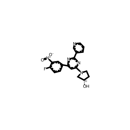 O=[N+]([O-])c1cc(-c2cc(N3CC[C@H](O)C3)nc(-c3cccnc3)n2)ccc1F